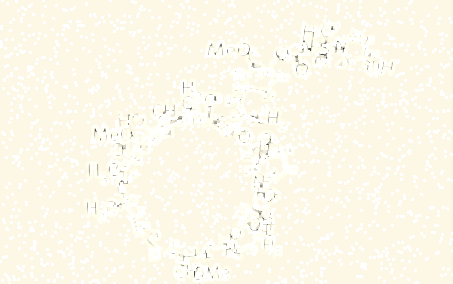 CO[C@H]1C[C@@H]2CC[C@@H](C)[C@@](O)(O2)C(=O)C(=O)N2CCCC[C@H]2C(=O)O[C@H]([C@H](C)C[C@@H]2CC[C@@H](OC(=O)NS(=O)(=O)N3CC[C@@H](O)C3)[C@H](OC)C2)CC(=O)[C@H](C)/C=C(\C)[C@@H](O)[C@@H](OC)C(=O)[C@H](C)C[C@H](C)/C=C/C=C/C=C/1C